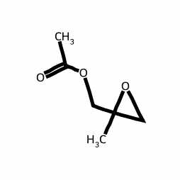 CC(=O)OCC1(C)CO1